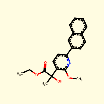 CCOC(=O)C(C)(O)c1ccc(-c2ccc3ccccc3c2)nc1OC